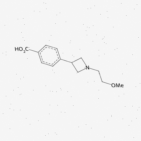 COCCN1CC(c2ccc(C(=O)O)cc2)C1